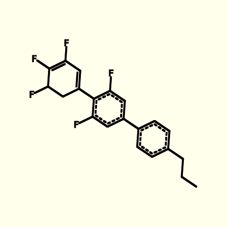 CCCc1ccc(-c2cc(F)c(C3=CC(F)=C(F)C(F)C3)c(F)c2)cc1